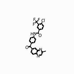 Cc1cnc2ccc(C(=O)c3ccc(NC(=O)c4ccc(Cl)c(C(F)(F)F)c4)cc3)cc2n1